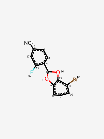 N#Cc1ccc(C2Oc3cccc(Br)c3O2)c(F)c1